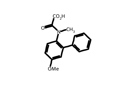 COc1ccc(N(C)C(=O)C(=O)O)c(-c2ccccc2)c1